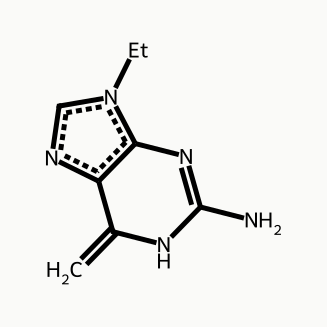 C=C1NC(N)=Nc2c1ncn2CC